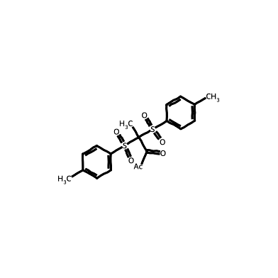 CC(=O)C(=O)C(C)(S(=O)(=O)c1ccc(C)cc1)S(=O)(=O)c1ccc(C)cc1